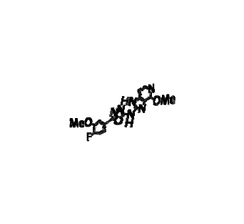 COc1cc(-c2nnc(Nc3nc4c(OC)nccc4[nH]3)o2)ccc1F